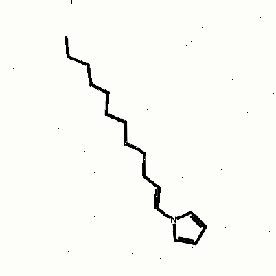 CCCCCCCCCCC=Cn1cccc1